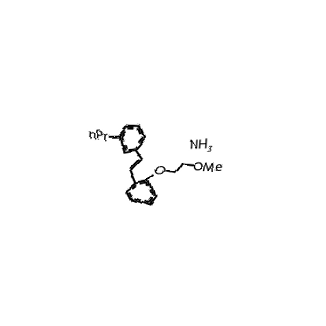 CCCc1cccc(C=Cc2ccccc2OCCOC)c1.N